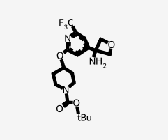 CC(C)(C)OC(=O)N1CCC(Oc2cc(C3(N)COC3)cc(C(F)(F)F)n2)CC1